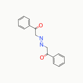 O=C(CN=NCC(=O)c1ccccc1)c1ccccc1